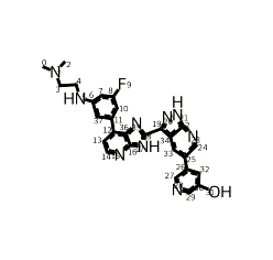 CN(C)CCNc1cc(F)cc(-c2ccnc3[nH]c(-c4n[nH]c5ncc(-c6cncc(O)c6)cc45)nc23)c1